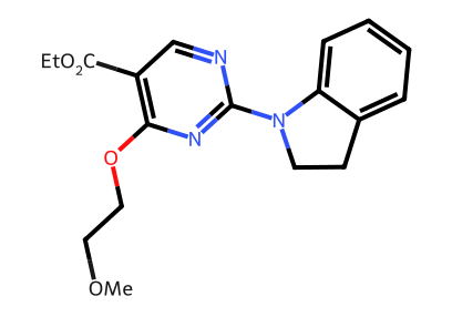 CCOC(=O)c1cnc(N2CCc3ccccc32)nc1OCCOC